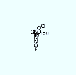 CCCCOc1nc(N2CCN(c3ccc(F)cc3)CC2)nc(=O)n1Cc1ccc(Cl)cc1